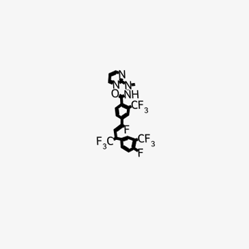 CN(NC(=O)c1ccc(C(F)=CC(c2ccc(F)c(C(F)(F)F)c2)C(F)(F)F)cc1C(F)(F)F)c1ncccn1